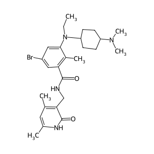 CCN(c1cc(Br)cc(C(=O)NCc2c(C)cc(C)[nH]c2=O)c1C)C1CCC(N(C)C)CC1